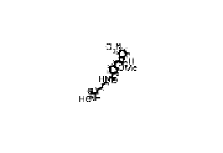 COc1cc(C(=O)NCCCCCC(=O)NO)ccc1Cc1c[nH]c2ccc([N+](=O)[O-])cc12